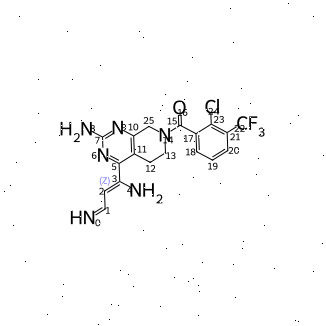 N=C/C=C(\N)c1nc(N)nc2c1CCN(C(=O)c1cccc(C(F)(F)F)c1Cl)C2